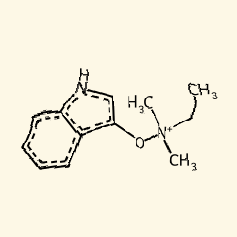 CC[N+](C)(C)Oc1c[nH]c2ccccc12